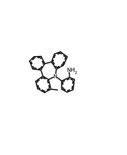 Cc1cccc2c1N(c1ccccc1N)c1ccccc1-c1ccccc1-2